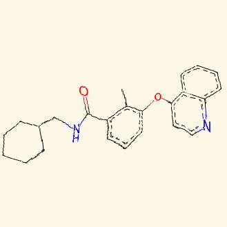 Cc1c(Oc2ccnc3ccccc23)cccc1C(=O)NCC1CCCCC1